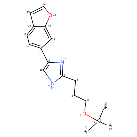 CC(C)[Si](OCCCc1nc(-c2ccc3ccoc3c2)c[nH]1)(C(C)C)C(C)C